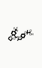 CC(Cc1ccc(OC(C)(C)C(=O)O)cc1)NC(=O)c1cc(C(F)(F)F)ccc1N1CCCC1